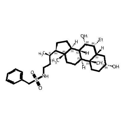 CC[C@H]1[C@@H](O)[C@@H]2[C@H](CC[C@]3(C)[C@@H]([C@H](C)CCNS(=O)(=O)Cc4ccccc4)CC[C@@H]23)[C@@]2(C)CC[C@@H](O)C[C@@H]12